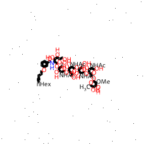 CCCCCCC#CCCCOc1cccc(C(=O)NC2[C@H](O[C@H]3C(O)C(NC(C)=O)C(OC4C(CO)O[C@@H](O[C@H]5C(O)C(NC(C)=O)C(OC6C(CO[C@@H]7OC(C)C(O)[C@H](O)[C@H]7OC)OC(O)[C@@H](NC(C)=O)[C@H]6O)O[C@H]5CO)[C@@H](NC(C)=O)[C@H]4O)O[C@H]3CO)OC(CO)[C@@H](O)[C@@H]2O)c1